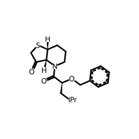 CC(C)C[C@H](OCc1ccccc1)C(=O)N1CCC[C@H]2SCC(=O)[C@H]21